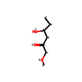 CC[C](O)CC(=O)COC